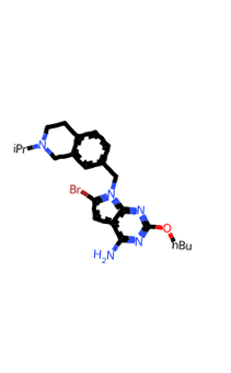 CCCCOc1nc(N)c2cc(Br)n(Cc3ccc4c(c3)CN(C(C)C)CC4)c2n1